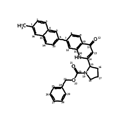 Cc1ccc2cc(-c3ccc4c(=O)cc(C5CCCN5C(=O)OCc5ccccc5)[nH]c4c3)ccc2c1